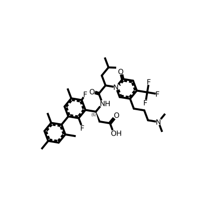 Cc1cc(C)c(-c2cc(C)c(F)c([C@H](CC(=O)O)NC(=O)C(CC(C)C)n3cc(CCCN(C)C)c(C(F)(F)F)cc3=O)c2F)c(C)c1